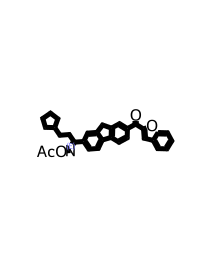 CC(=O)O/N=C(\CCC1CCCC1)c1ccc2c(c1)Cc1cc(C(=O)c3cc4ccccc4o3)ccc1-2